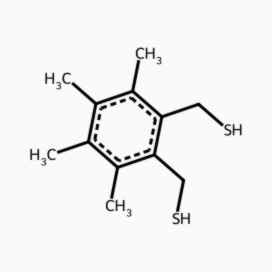 Cc1c(C)c(C)c(CS)c(CS)c1C